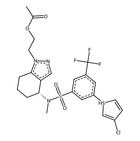 CC(=O)OCCn1ncc2c1CCC[C@H]2N(C)S(=O)(=O)c1cc([SH]2C=CC(Cl)=C2)cc(C(F)(F)F)c1